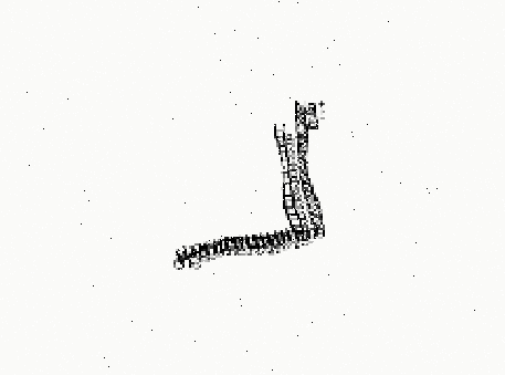 O.O.O.O.O.O.O.O.O.O.O.O.O.O.O.O.O.O.O.O.O.O.O.O.O.O.O.O.O.O.O.O.O.O.O.O.O=P([O-])([O-])[O-].[Na+].[Na+].[Na+]